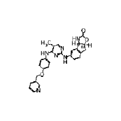 Cc1cnc(Nc2ccc3c(c2)[C@H]2NC(=O)O[C@H]2C3)nc1Nc1ccc(OCc2cccnc2)cc1